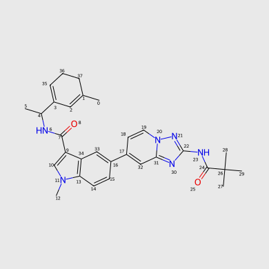 CC1=CC(C(C)NC(=O)c2cn(C)c3ccc(-c4ccn5nc(NC(=O)C(C)(C)C)nc5c4)cc23)=CCC1